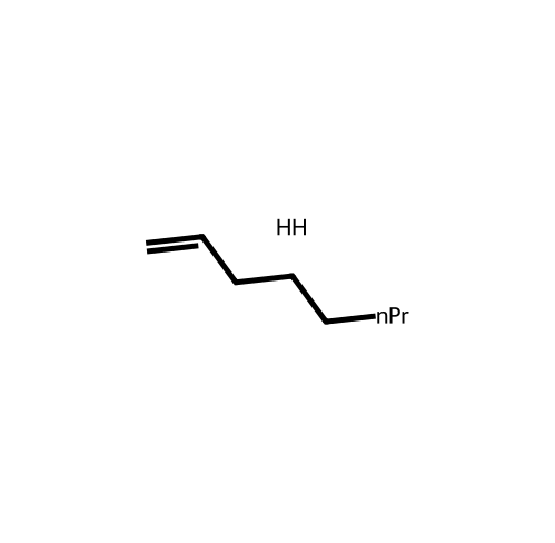 C=CCCCCCC.[HH]